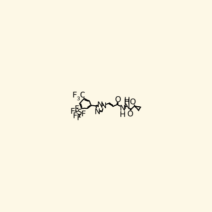 O=C(C=Cn1cnc(-c2cc(C(F)(F)F)cc(S(F)(F)(F)(F)F)c2)n1)NNC(=O)C1(O)CC1